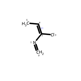 C=N/C(Cl)=C\C